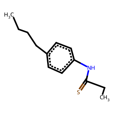 CCCCc1ccc(NC(=S)CC)cc1